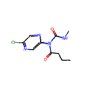 CCCC(=O)N(C(=O)NC)c1cnc(Cl)cn1